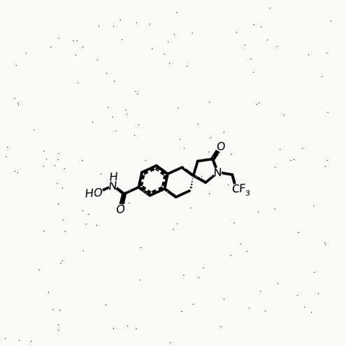 O=C(NO)c1ccc2c(c1)CC[C@@]1(CC(=O)N(CC(F)(F)F)C1)C2